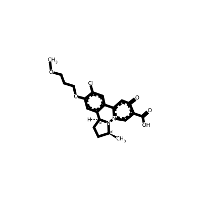 COCCCOc1cc2c(cc1Cl)-c1cc(=O)c(C(=O)O)cn1N1[C@@H](C)CC[C@@H]21